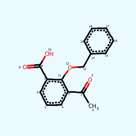 CC(=O)c1cccc(C(=O)O)c1OCc1ccccc1